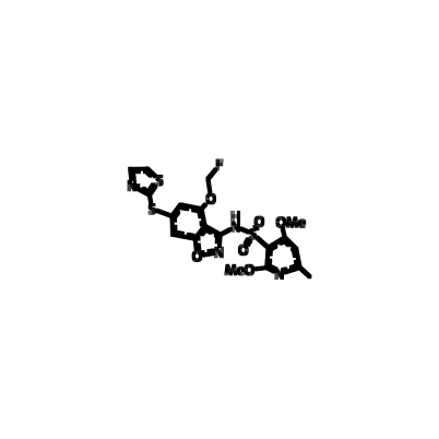 COc1cc(C)nc(OC)c1S(=O)(=O)Nc1noc2cc(Sc3nccs3)cc(OCF)c12